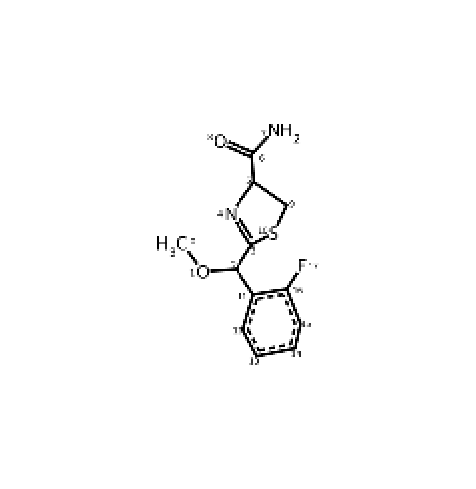 COC(C1=NC(C(N)=O)CS1)c1ccccc1F